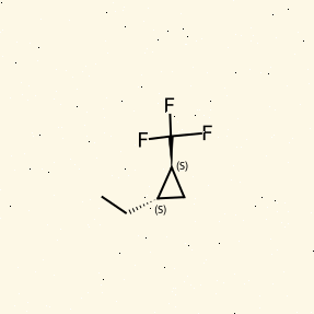 CC[C@H]1C[C@@H]1C(F)(F)F